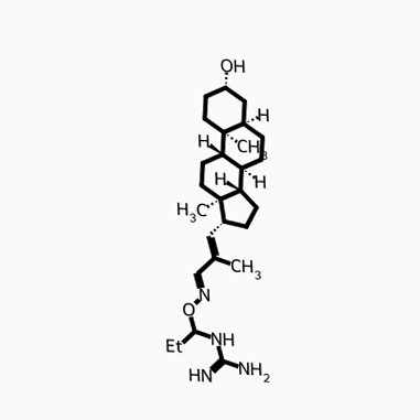 CCC(NC(=N)N)O/N=C/C(C)=C/[C@H]1CC[C@H]2[C@@H]3CC[C@@H]4C[C@@H](O)CC[C@]4(C)[C@H]3CC[C@]12C